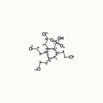 O=S(=O)(O)c1c(CCCl)cc(CCCl)c(CCCl)c1CCCl